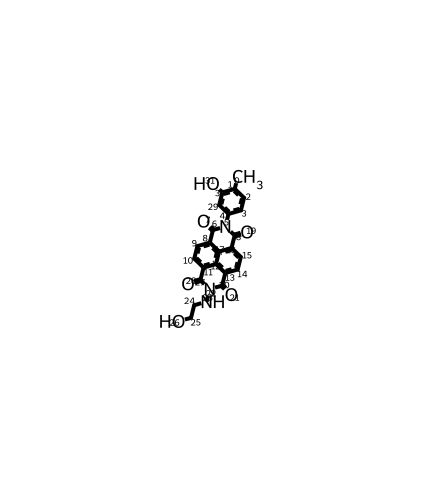 Cc1ccc(N2C(=O)c3ccc4c5c(ccc(c35)C2=O)C(=O)N(NCCO)C4=O)cc1O